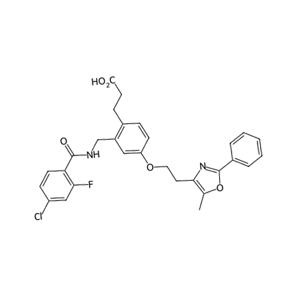 Cc1oc(-c2ccccc2)nc1CCOc1ccc(CCC(=O)O)c(CNC(=O)c2ccc(Cl)cc2F)c1